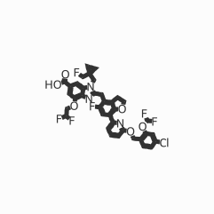 O=C(O)c1cc(OCC(F)F)c2nc(Cc3c(F)cc(-c4cccc(OCc5ccc(Cl)cc5OC(F)F)n4)c4c3CCO4)n(CC3(CF)CC3)c2c1